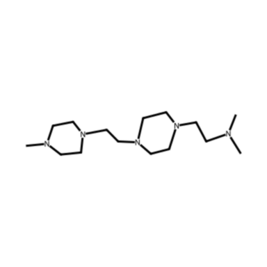 CN(C)CCN1CCN(CCN2CCN(C)CC2)CC1